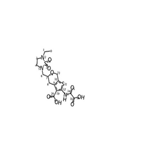 CCN1CCN(CC2Cc3c(sc(NC(=O)C(=O)O)c3C(=O)O)CO2)S1(=O)=O